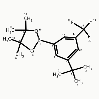 CC(C)(C)c1cc(B2OC(C)(C)C(C)(C)O2)cc(C(F)(F)F)c1